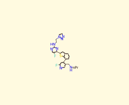 CCCNCc1cnc(F)cc1-c1cccc2cc(-c3nc(NCCn4ccnn4)ncc3F)sc12